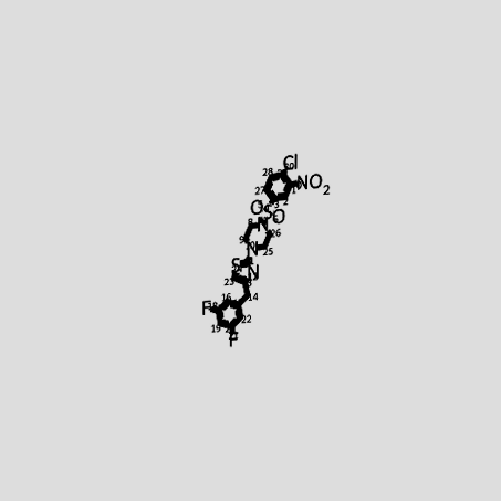 O=[N+]([O-])c1cc(S(=O)(=O)N2CCN(c3nc(Cc4cc(F)cc(F)c4)cs3)CC2)ccc1Cl